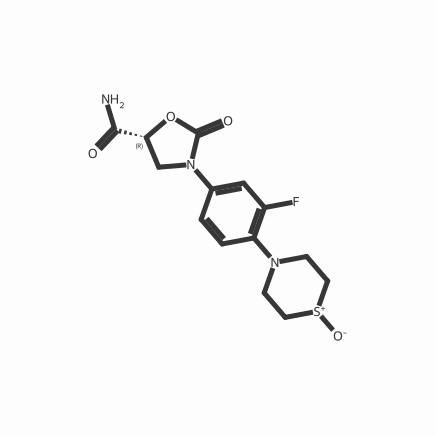 NC(=O)[C@H]1CN(c2ccc(N3CC[S+]([O-])CC3)c(F)c2)C(=O)O1